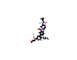 CC(CC1CO1)C1CCc2c(c3cc(C(=O)N4CCCC(NC(=O)C5CC5)C4)ccc3n2C)C1